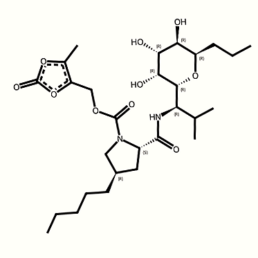 CCCCC[C@@H]1C[C@@H](C(=O)N[C@H](C(C)C)[C@H]2O[C@H](CCC)[C@H](O)[C@@H](O)[C@H]2O)N(C(=O)OCc2oc(=O)oc2C)C1